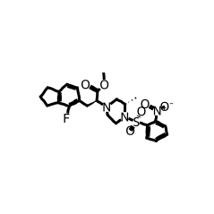 COC(=O)[C@H](Cc1ccc2c(c1F)CCC2)N1CCN(S(=O)(=O)c2ccccc2[N+](=O)[O-])[C@@H](C)C1